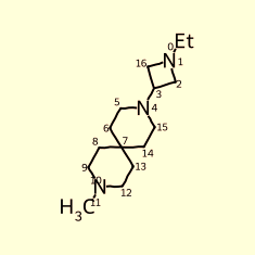 CCN1CC(N2CCC3(CCN(C)CC3)CC2)C1